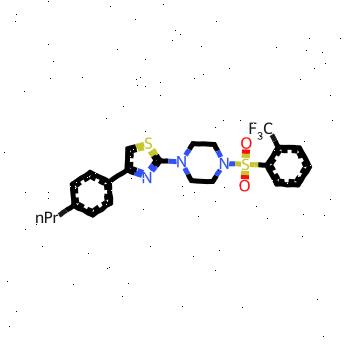 CCCc1ccc(-c2csc(N3CCN(S(=O)(=O)c4ccccc4C(F)(F)F)CC3)n2)cc1